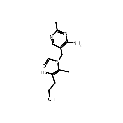 C/C(=C(/S)CCO)N(C=O)Cc1cnc(C)nc1N